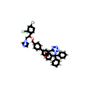 Clc1ccc(C(Cn2ccnc2)OCc2ccc(-c3cccc(-c4nnnn4C(c4ccccc4)(c4ccccc4)c4ccccc4)c3)cc2)c(Cl)c1